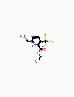 CCOC(=O)c1nc(CN)ccc1C(F)(F)F